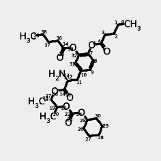 CCCCC(=O)Oc1ccc(C[C@H](N)C(=O)O[C@@H](C)C(C)OC(=O)OC2CCCCC2)cc1OC(=O)CCCC